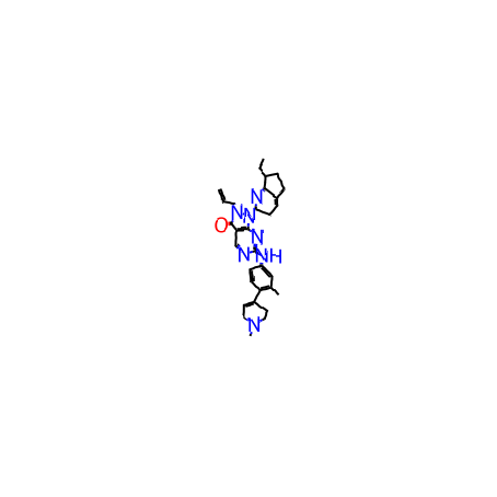 C=CCn1c(=O)c2cnc(Nc3ccc(C4=CCN(C)CC4)c(C)c3)nc2n1C1CC=C2CCC(CC)C2=N1